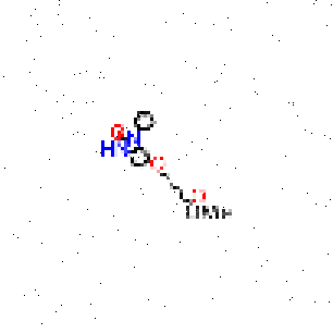 COC(=O)CCCCCOc1ccc2[nH]c(=O)n(-c3ccccc3)c2c1